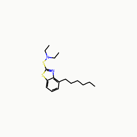 CCCCCCc1cccc2sc(SN(CC)CC)nc12